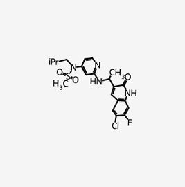 CC(C)CN(c1ccnc(NC(C)c2cc3cc(Cl)c(F)cc3[nH]c2=O)c1)S(C)(=O)=O